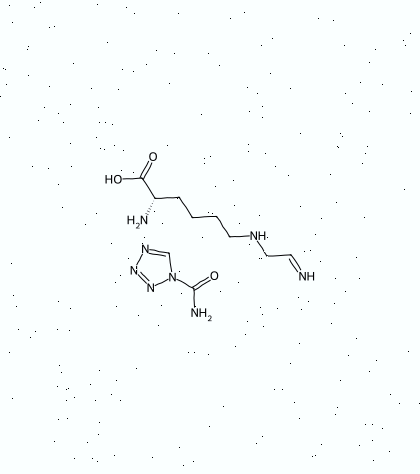 N=CCNCCCC[C@H](N)C(=O)O.NC(=O)n1cnnn1